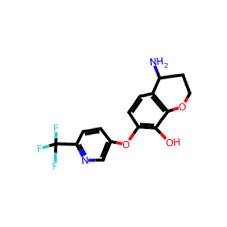 NC1CCOc2c1ccc(Oc1ccc(C(F)(F)F)nc1)c2O